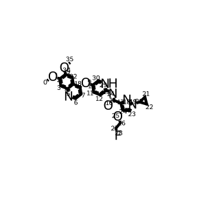 COc1cc2nccc(Oc3ccc(NC(=O)c4nn(C5CC5)cc4OCCF)nc3)c2cc1OC